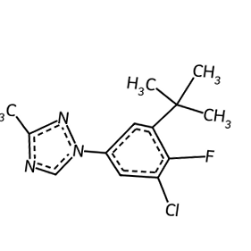 Cc1ncn(-c2cc(Cl)c(F)c(C(C)(C)C)c2)n1